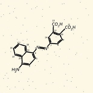 Nc1ccc(/N=N/c2ccc(C(=O)O)c(C(=O)O)c2)c2ccccc12